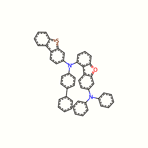 c1ccc(-c2ccc(N(c3ccc4c(c3)sc3ccccc34)c3cccc4oc5cc(N(c6ccccc6)c6ccccc6)ccc5c34)cc2)cc1